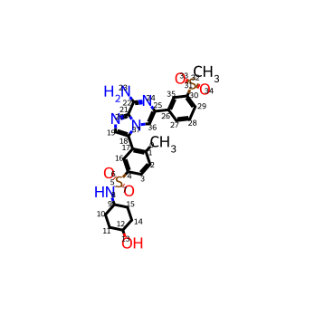 Cc1ccc(S(=O)(=O)NC2CCC(O)CC2)cc1-c1cnc2c(N)nc(-c3cccc(S(C)(=O)=O)c3)cn12